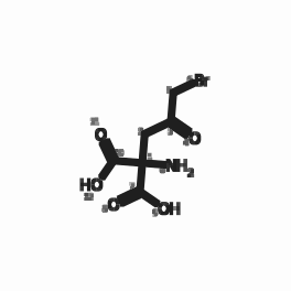 NC(CC(=O)CBr)(C(=O)O)C(=O)O